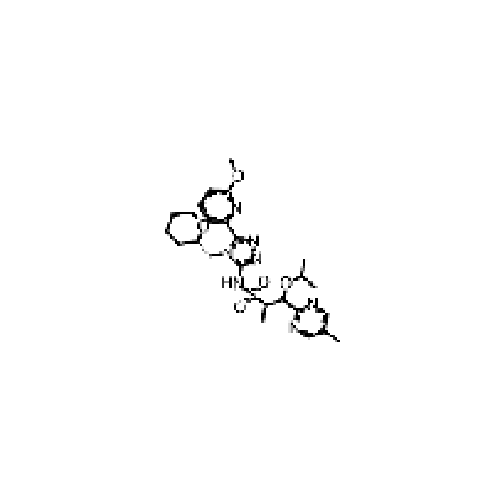 COc1cccc(-c2nnc(NS(=O)(=O)C(C)C(OC(C)C)c3ncc(C)cn3)n2C[C@@H]2CCCCO2)n1